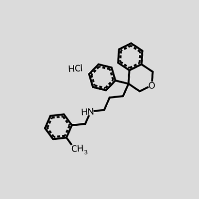 Cc1ccccc1CNCCCC1(c2ccccc2)COCc2ccccc21.Cl